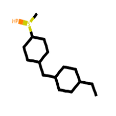 CCC1CCC(CC2CCC(S(C)=P)CC2)CC1